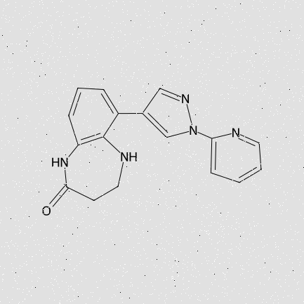 O=C1CCNc2c(cccc2-c2cnn(-c3ccccn3)c2)N1